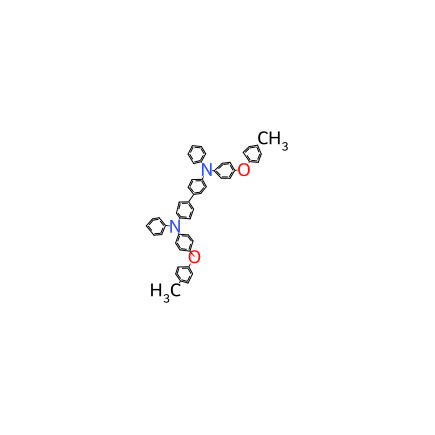 Cc1ccc(Oc2ccc(N(c3ccccc3)c3ccc(-c4ccc(N(c5ccccc5)c5ccc(Oc6ccc(C)cc6)cc5)cc4)cc3)cc2)cc1